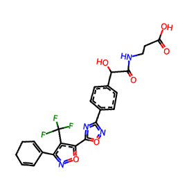 O=C(O)CCNC(=O)C(O)c1ccc(-c2noc(-c3onc(C4=CCCC=C4)c3C(F)(F)F)n2)cc1